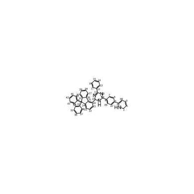 C1=CCNC(c2ccc(C3=NC(c4ccccc4)=NC(c4cccc5c4-c4ccccc4C5(c4ccccc4)c4ccccc4)N3)cc2)=C1